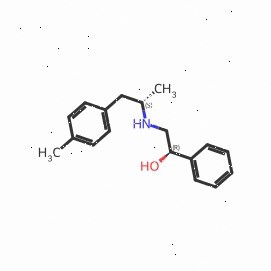 Cc1ccc(C[C@H](C)NC[C@H](O)c2ccccc2)cc1